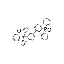 O=P(c1ccccc1)(c1ccccc1)c1cccc(-c2ccc3c(c2)C2(c4ccccc4Oc4ccccc42)c2ccccc2-3)c1